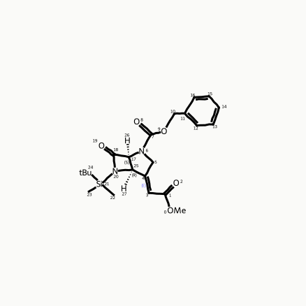 COC(=O)/C=C1\CN(C(=O)OCc2ccccc2)[C@@H]2C(=O)N([Si](C)(C)C(C)(C)C)[C@H]12